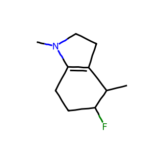 CC1C2=C(CCC1F)N(C)CC2